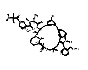 CCn1c(-c2cnccc2COC)c2c3cc(ccc31)-c1cc(O)cc(c1)C[C@H](NC(=O)[C@H](C(C)C)N(C)C(=O)[C@@]1(O)CCN(C(=O)C(C)(C)N(C)C)C1)C(=O)N1CCC[C@H](N1)C(=O)OCC(C)(C)C2